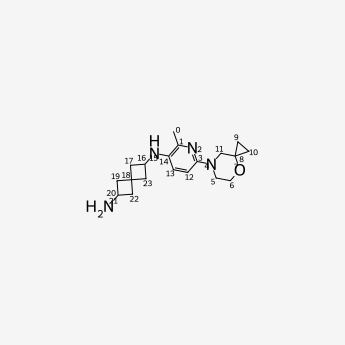 Cc1nc(N2CCOC3(CC3)C2)ccc1NC1CC2(CC(N)C2)C1